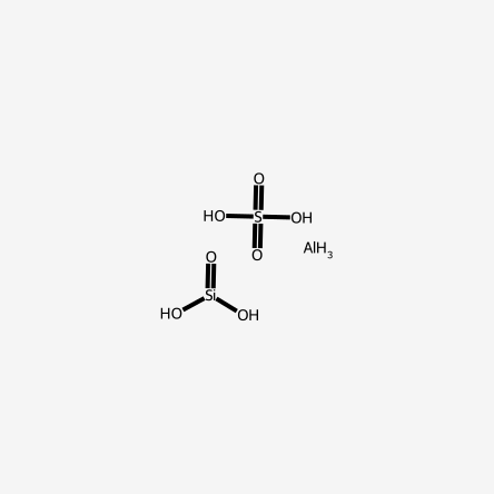 O=S(=O)(O)O.O=[Si](O)O.[AlH3]